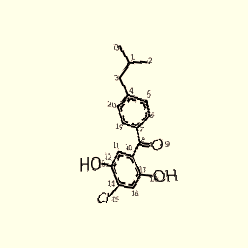 CC(C)Cc1ccc(C(=O)c2cc(O)c(Cl)cc2O)cc1